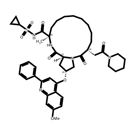 COc1ccc2c(O[C@@H]3C[C@H]4C(=O)N[C@@](C)(C(=O)NS(=O)(=O)C5CC5)CCCCCCCC[C@H](CC(=O)N5CCCCC5)C(=O)N4C3)cc(-c3ccccc3)nc2c1